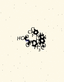 COc1cc2ncnc(Nc3ccc(Cl)c(Cl)c3F)c2cc1OC1CCN(C(=O)/C=C/C(=O)O)CC1